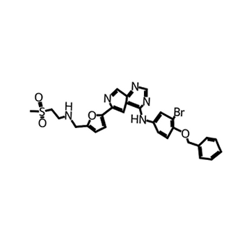 CS(=O)(=O)CCNCc1ccc(-c2cc3c(Nc4ccc(OCc5ccccc5)c(Br)c4)ncnc3cn2)o1